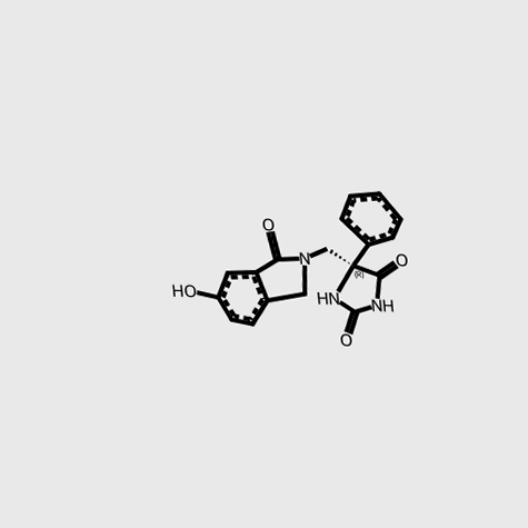 O=C1NC(=O)[C@](CN2Cc3ccc(O)cc3C2=O)(c2ccccc2)N1